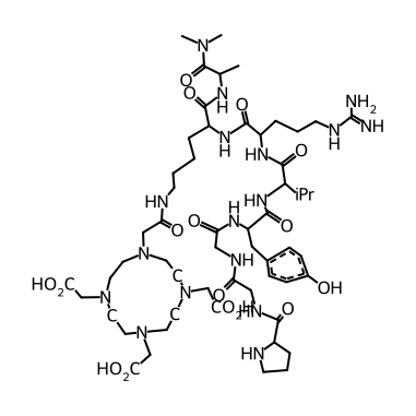 CC(NC(=O)C(CCCCNC(=O)CN1CCN(CC(=O)O)CCN(CC(=O)O)CCN(CC(=O)O)CC1)NC(=O)C(CCCNC(=N)N)NC(=O)C(NC(=O)C(Cc1ccc(O)cc1)NC(=O)CNC(=O)CNC(=O)C1CCCN1)C(C)C)C(=O)N(C)C